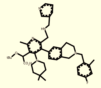 Cc1cc(F)ccc1CN1CCc2cc(-c3c(CNCc4cccnc4)nc(C)c(C(OC(C)(C)C)C(=O)O)c3N3CCC(C)(C)CC3)ccc2C1